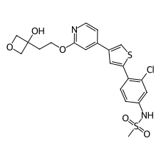 CS(=O)(=O)Nc1ccc(-c2cc(-c3ccnc(OCCC4(O)COC4)c3)cs2)c(Cl)c1